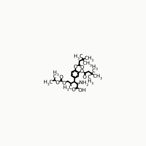 CC(C)OC(=O)OCC(C)C(c1ccc(OC(=O)CC(C)(C)C)c(OC(=O)CC(C)(C)C)c1)[C@H](N)C(=O)O